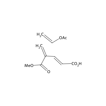 C=C(C=CC(=O)O)C(=O)OC.C=COC(C)=O